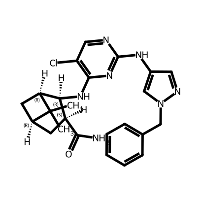 CC1(C)[C@H]2C[C@H](C(N)=O)[C@H](Nc3nc(Nc4cnn(Cc5ccccc5)c4)ncc3Cl)[C@@H]1C2